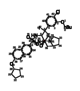 CCCCOc1cc(C(F)(F)C(NS(=O)(=O)c2ccc3cc(OC4CCCC4)ccc3c2)C(=O)N2C3CCC2CC(N)C3)ccc1Cl